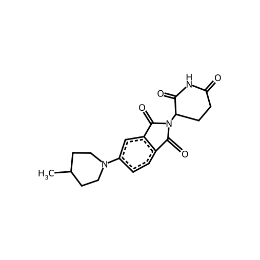 CC1CCN(c2ccc3c(c2)C(=O)N(C2CCC(=O)NC2=O)C3=O)CC1